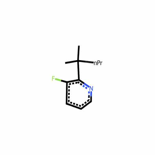 CCCC(C)(C)c1ncccc1F